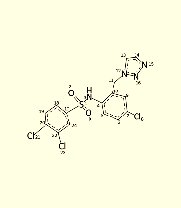 O=S(=O)(Nc1ccc(Cl)cc1Cn1ccnn1)c1ccc(Cl)c(Cl)c1